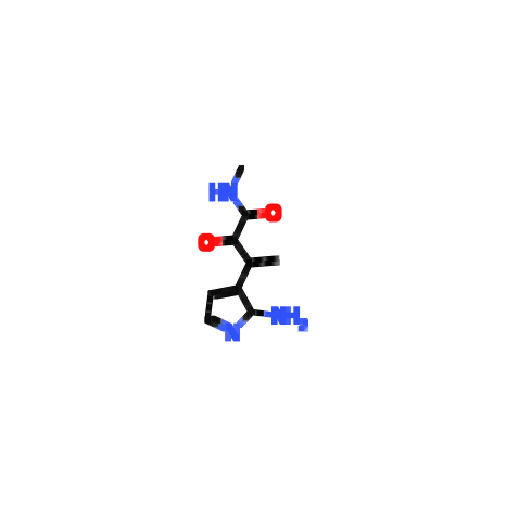 C=C(C(=O)C(=O)NC)C1=CC=NC1N